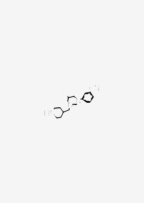 N#Cc1cccc(N2CC(O)CN(CC3CCNCC3)C2=O)c1